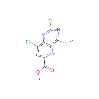 COC(=O)c1cc(Cl)c2nc(Cl)nc(SC)c2n1